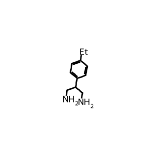 CCc1ccc(C(CN)CN)cc1